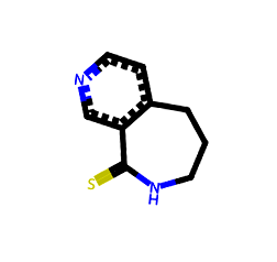 S=C1NCCCc2ccncc21